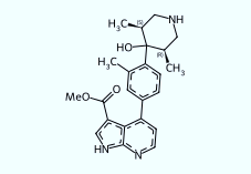 COC(=O)c1c[nH]c2nccc(-c3ccc(C4(O)[C@H](C)CNC[C@@H]4C)c(C)c3)c12